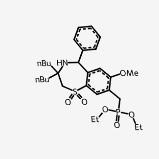 CCCCC1(CCCC)CS(=O)(=O)c2cc(CP(=O)(OCC)OCC)c(OC)cc2C(c2ccccc2)N1